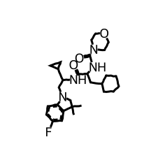 CC1(C)CN(CC(NC(=O)C(CC2CCCCC2)NC(=O)N2CCOCC2)C2CC2)c2ccc(F)cc21